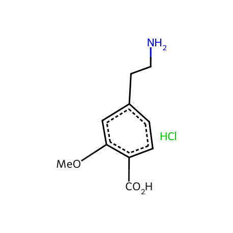 COc1cc(CCN)ccc1C(=O)O.Cl